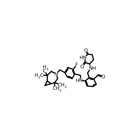 CC1(C)CN(Cc2ccc(CNc3cccc(C=O)c3CN[C@@H]3CCC(=O)NC3=O)c(F)c2)CC(C)(C)C2CC21